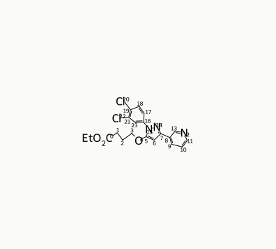 CCOC(=O)CCCOc1cc(-c2cccnc2)nn1-c1ccc(Cl)c(Cl)c1